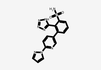 NS(=O)(=O)c1cccc(-c2ccc(-n3cccn3)nc2)c1-c1nnn[nH]1